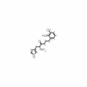 N[C@@H](Cc1c[nH]cn1)C(=O)CCCc1cccc(Cl)c1O